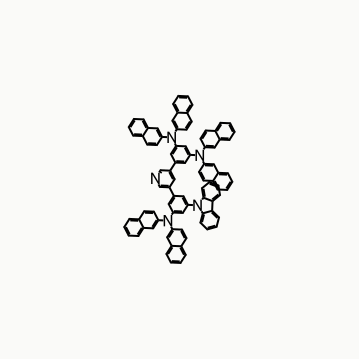 c1ccc2cc(N(c3cc(-c4cncc(-c5cc(N(c6ccc7ccccc7c6)c6ccc7ccccc7c6)cc(-n6c7ccccc7c7ccccc76)c5)c4)cc(N(c4ccc5ccccc5c4)c4ccc5ccccc5c4)c3)c3ccc4ccccc4c3)ccc2c1